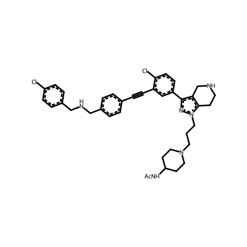 CC(=O)NC1CCN(CCCn2nc(-c3ccc(Cl)c(C#Cc4ccc(CNCc5ccc(Cl)cc5)cc4)c3)c3c2CCNC3)CC1